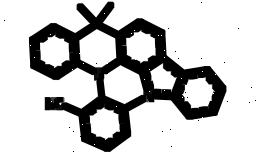 CC1(C)c2ccccc2B2c3c(C#N)cccc3-n3c4ccccc4c4ccc1c2c43